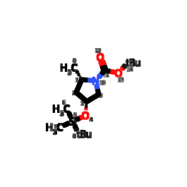 C[C@H]1C[C@@H](O[Si](C)(C)C(C)(C)C)CN1C(=O)OC(C)(C)C